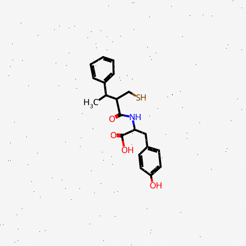 CC(c1ccccc1)C(CS)C(=O)NC(Cc1ccc(O)cc1)C(=O)O